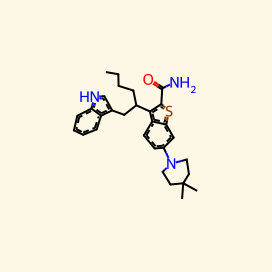 CCCCC(Cc1c[nH]c2ccccc12)c1c(C(N)=O)sc2cc(N3CCC(C)(C)CC3)ccc12